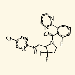 O=C(c1c(F)cccc1-c1ncccn1)N1CCC(F)(F)C1CNc1ncc(Cl)cn1